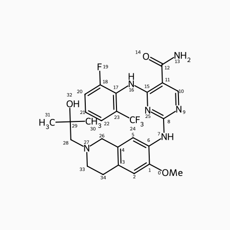 COc1cc2c(cc1Nc1ncc(C(N)=O)c(Nc3c(F)cccc3C(F)(F)F)n1)CN(CC(C)(C)O)CC2